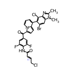 Cc1nc2c(Cl)c(-c3cccn4c(C(=O)c5cc(F)c(NC(=O)/C=C/CCl)c(F)c5)ccc34)c(Br)cc2n1C